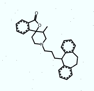 CC1CN(CCCC2c3ccccc3CCc3ccccc32)CCC12OC(=O)c1ccccc12